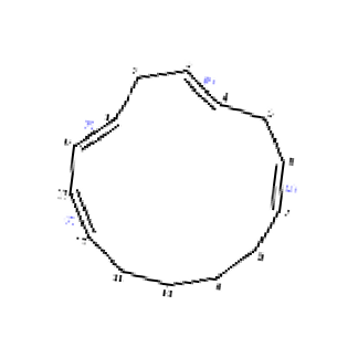 [C]1=C/C/C=C/C/C=C\CCCC\C=C/1